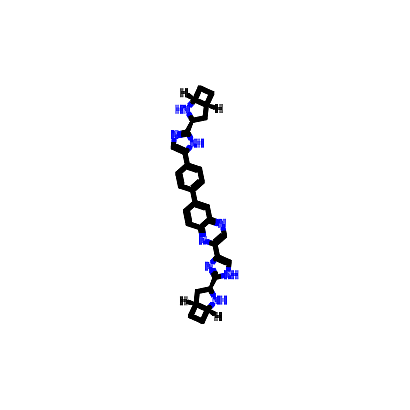 c1cc(-c2cnc([C@@H]3C[C@H]4CC[C@H]4N3)[nH]2)ccc1-c1ccc2nc(-c3c[nH]c([C@@H]4C[C@H]5CC[C@H]5N4)n3)cnc2c1